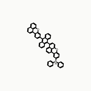 c1ccc([SiH](c2ccccc2)c2ccc3c(c2)-c2cccc4c(-c5c6ccccc6c(-c6ccc7c(c6)Oc6cccc8cccc-7c68)c6ccccc56)ccc(c24)O3)cc1